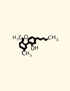 CCCCCc1cc(O)c2c(c1)OC(C)=C1CC=C(C)C=C12